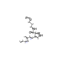 C=C/C=C\C(=C)/C=C/c1c[nH]nc1C(=O)NCCCOC(C)C